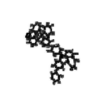 c1ccc(-c2ccc(N(c3ccc(-c4ccc(C5(c6ccccc6)c6cccc7oc8cccc5c8c67)cc4)cc3)c3cccc4ccccc34)cc2)cc1